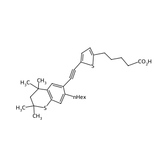 CCCCCCc1cc2c(cc1C#Cc1ccc(CCCCC(=O)O)s1)C(C)(C)CC(C)(C)S2